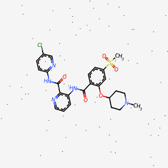 CN1CCC(Oc2cc(S(C)(=O)=O)ccc2C(=O)Nc2cccnc2C(=O)Nc2ccc(Cl)cn2)CC1